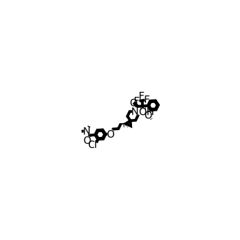 COc1ccccc1[C@@](O)(C(=O)N1CCC2(CC1)C[C@H]2CCCOc1ccc(C(=O)N(C)C)c(Cl)c1)C(F)(F)F